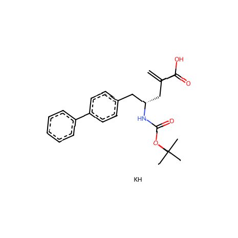 C=C(C[C@@H](Cc1ccc(-c2ccccc2)cc1)NC(=O)OC(C)(C)C)C(=O)O.[KH]